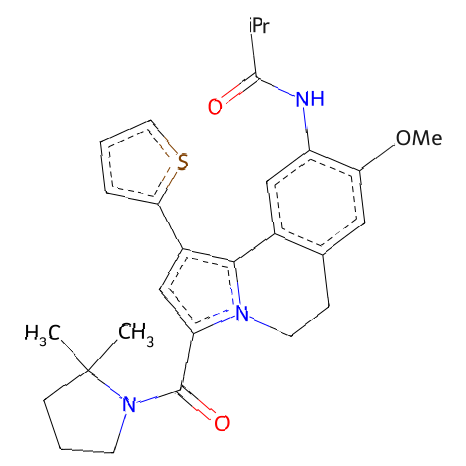 COc1cc2c(cc1NC(=O)C(C)C)-c1c(-c3cccs3)cc(C(=O)N3CCCC3(C)C)n1CC2